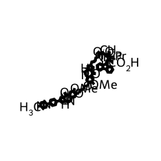 COc1cc2c(cc1OCCCOc1cc3c(cc1OC)C(=O)N1C=C(c4ccc(N5CCN(C)CC5)cc4)C[C@H]1C=N3)N=C[C@@H]1CC(C=CCNC(=O)[C@H](C)NC(=O)[C@@H](C(C)C)N(CC3c4ccccc4-c4ccccc43)C(=O)O)=CN1C2=O